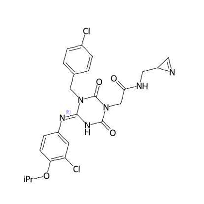 CC(C)Oc1ccc(/N=c2\[nH]c(=O)n(CC(=O)NCC3C=N3)c(=O)n2Cc2ccc(Cl)cc2)cc1Cl